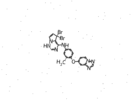 Cc1cc(NC2=C3N(C=CC3(Br)Br)NC=N2)ccc1Oc1ccn2ncnc2c1